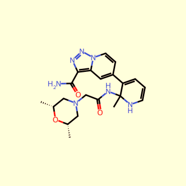 C[C@@H]1CN(CC(=O)NC2(C)NC=CC=C2c2ccn3nnc(C(N)=O)c3c2)C[C@H](C)O1